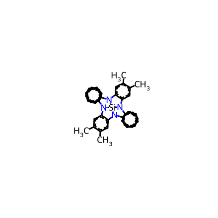 Cc1cc2c(cc1C)N(c1ccccc1)[Si]1(N2c2ccccc2)N(c2ccccc2)c2cc(C)c(C)cc2N1c1ccccc1